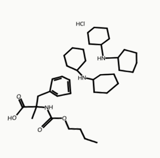 C1CCC(NC2CCCCC2)CC1.C1CCC(NC2CCCCC2)CC1.CCCCOC(=O)NC(C)(Cc1ccccc1)C(=O)O.Cl